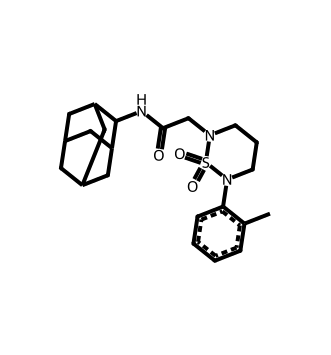 Cc1ccccc1N1CCCN(CC(=O)NC2C3CC4CC(C3)CC2C4)S1(=O)=O